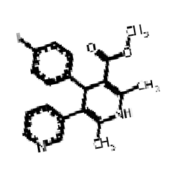 COC(=O)C1=C(C)NC(C)=C(c2cccnc2)C1c1ccc(I)cc1